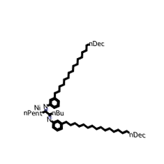 CCCCCCCCCCCCCCCCCCCCCCCCCc1cccc(/N=C(CCCCC)\C(CCCC)=N\c2cccc(CCCCCCCCCCCCCCCCCCCCCCCCC)c2)c1.[Ni]